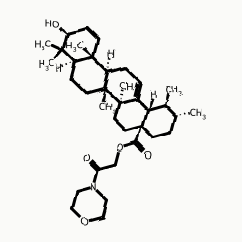 C[C@H]1[C@H](C)CC[C@]2(C(=O)OCC(=O)N3CCOCC3)CC[C@]3(C)C(=CC[C@@H]4[C@@]5(C)CC[C@H](O)C(C)(C)[C@@H]5CC[C@]43C)[C@H]12